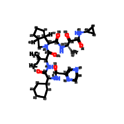 C=C(C)[C@H](NC(=O)[C@@H](NC(=O)c1cnccn1)C1CCCCC1)C(=O)N1C[C@@H]2CCC[C@@H]2[C@H]1C(=O)N[C@@H](CCC)C(=O)C(=O)NC1CC1